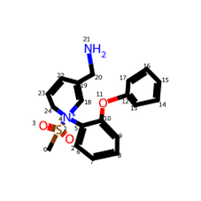 CS(=O)(=O)[N+]1(c2ccccc2Oc2ccccc2)C=C(CN)C=CC1